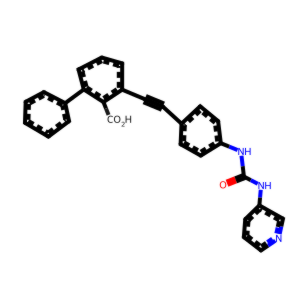 O=C(Nc1ccc(C#Cc2cccc(-c3ccccc3)c2C(=O)O)cc1)Nc1cccnc1